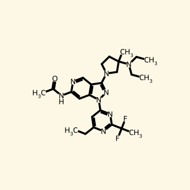 CCc1cc(-n2nc(N3CCC(C)(N(CC)CC)C3)c3cnc(NC(C)=O)cc32)nc(C(C)(F)F)n1